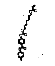 C=CC(=O)OCCCCCCCOC(=O)Oc1ccc(C(=O)Oc2ccc(C)cc2)cc1